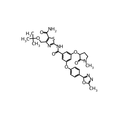 Cc1nnc(-c2ccc(Oc3cc(OC4CCN(C)C4=O)cc(C(=O)Nc4nc(COC(C)(C)C)c(C(N)=O)s4)c3)cc2)o1